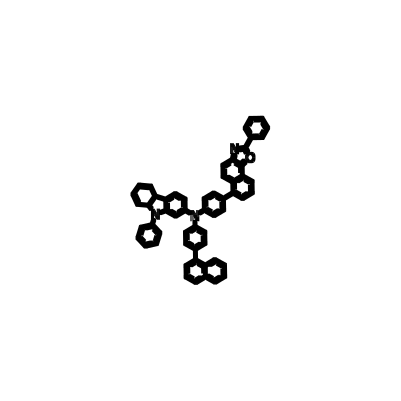 C1=CC2c3ccc(N(c4ccc(-c5cccc6ccccc56)cc4)c4ccc(-c5cccc6c5ccc5nc(-c7ccccc7)oc56)cc4)cc3N(c3ccccc3)C2C=C1